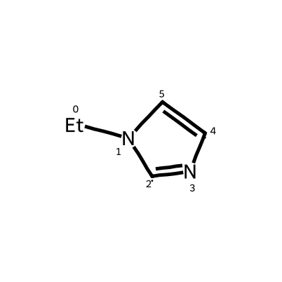 CCn1[c]n[c]c1